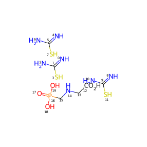 N=C(N)S.N=C(N)S.N=C(N)S.O=C(O)CNCP(=O)(O)O